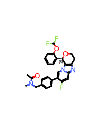 CC(=O)N(C)Cc1ccc(-c2cn3c4c(nc3cc2F)CCO[C@@H]4c2ccccc2OC(F)F)cc1